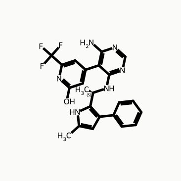 Cc1cc(-c2ccccc2)c([C@H](C)Nc2ncnc(N)c2-c2cc(O)nc(C(F)(F)F)c2)[nH]1